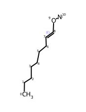 CCCCCCC/C=C/O[N]